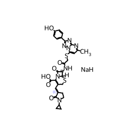 Cc1cc(SCC(=O)N[C@@H]2C(=O)N3C(C(=O)O)=C(/C=C4\CCN(C5CC5)C4=O)CS[C@H]23)n2nc(-c3ccc(O)cc3)nc2n1.[NaH]